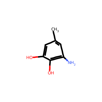 Cc1cc(N)c(O)c(O)c1